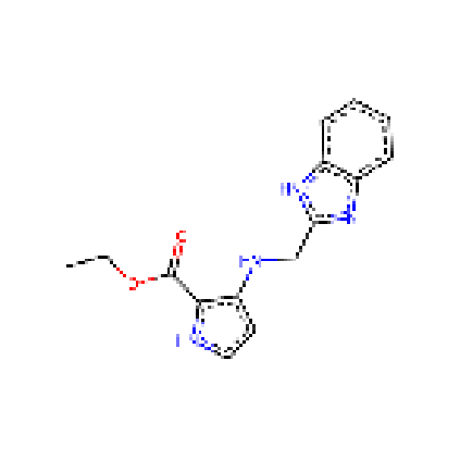 CCOC(=O)c1[nH]ccc1NCc1nc2ccccc2[nH]1